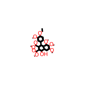 CCOc1ccc(-c2c(C(=O)OC)c(C(=O)OC)c(O)c3cc(OC)c(OC)c(OC)c23)cc1OC